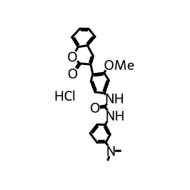 COc1cc(NC(=O)Nc2cccc(N(C)C)c2)ccc1-c1cc2ccccc2oc1=O.Cl